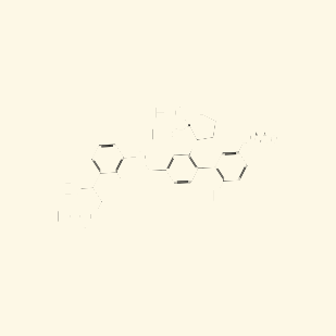 CCC(CC(=O)O)c1cccc(OCc2ccc(-c3cc(OC)ccc3F)c([C@@H]3CCCC3(C)C)c2)c1F